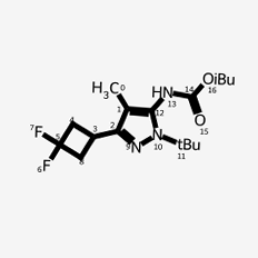 Cc1c(C2CC(F)(F)C2)nn(C(C)(C)C)c1NC(=O)OCC(C)C